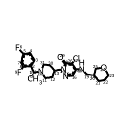 C[C@H](c1ccc(F)cc1F)N1CCC(n2ncc(NC[C@@H]3CCCOC3)c(Cl)c2=O)CC1